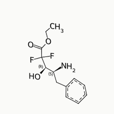 CCOC(=O)C(F)(F)[C@H](O)[C@@H](N)Cc1ccccc1